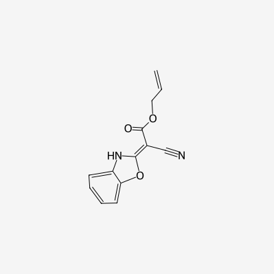 C=CCOC(=O)/C(C#N)=C1\Nc2ccccc2O1